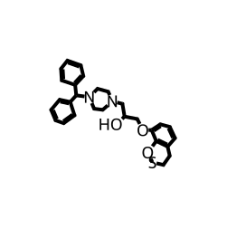 OC(COc1cccc2c1OSCC2)CN1CCN(C(c2ccccc2)c2ccccc2)CC1